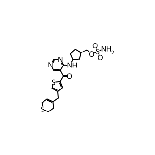 NS(=O)(=O)OC[C@@H]1CCC(Nc2ncncc2C(=O)c2cc(CC3=CCSCC3)cs2)C1